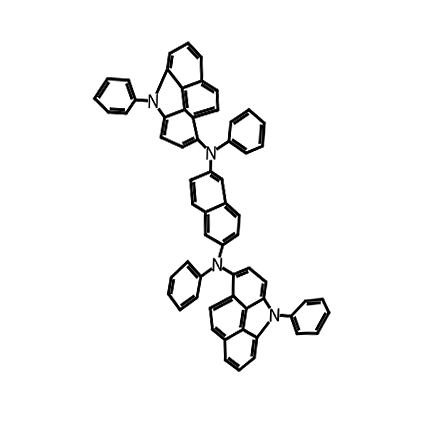 c1ccc(N(c2ccc3cc(N(c4ccccc4)c4ccc5c6c4ccc4cccc(c46)n5-c4ccccc4)ccc3c2)c2ccc3c4c2ccc2cccc(c24)n3-c2ccccc2)cc1